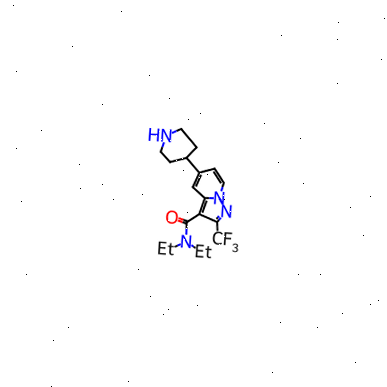 CCN(CC)C(=O)c1c(C(F)(F)F)nn2ccc(C3CCNCC3)cc12